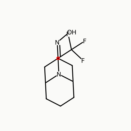 ON=C1CC2CCCC(C1)N2CC(F)(F)F